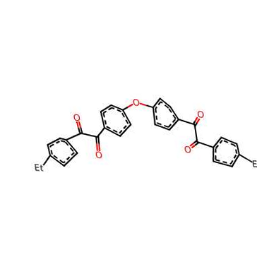 CCc1ccc(C(=O)C(=O)c2ccc(Oc3ccc(C(=O)C(=O)c4ccc(CC)cc4)cc3)cc2)cc1